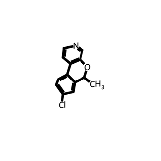 CC1Oc2cnccc2-c2ccc(Cl)cc21